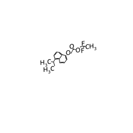 CCC(C)c1cccc2c(OCC(=O)OCC(C)(F)F)cccc12